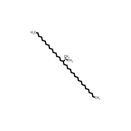 CCCCCCCCCCCCCCCCCCC(CCCCCCCCCCCCCCC)N(C)C